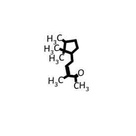 CC(=O)C(C)=CCC1CCC(C)C1(C)C